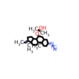 C/C=C1\CCC2C3C(CC[C@]12C)[C@@]1(C)CC[C@H](N=[N+]=[N-])CC1C[C@@H]3OC(C)(C)O